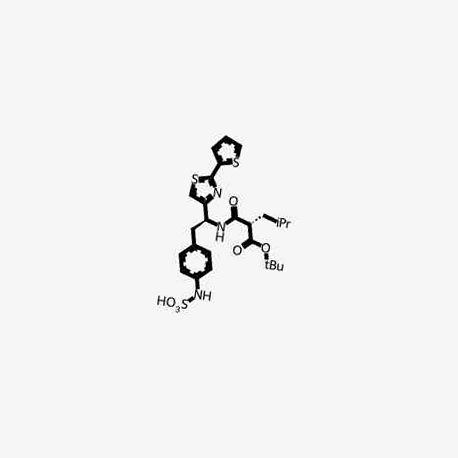 CC(C)C[C@@H](C(=O)N[C@@H](Cc1ccc(NS(=O)(=O)O)cc1)c1csc(-c2cccs2)n1)C(=O)OC(C)(C)C